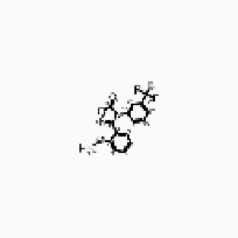 COc1ccccc1-c1noc(=O)n1-c1cccc(C(F)(F)F)c1